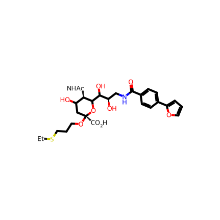 CCSCCCO[C@]1(C(=O)O)CC(O)[C@@H](NC(C)=O)C(C(O)[C@H](O)CNC(=O)c2ccc(-c3ccco3)cc2)O1